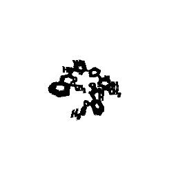 COc1ccccc1CC(=O)Nc1nnc([C@@H]2CC[C@@H](C3=NNC(C)(NC(=O)Cc4ccccc4OC)S3)C2)s1